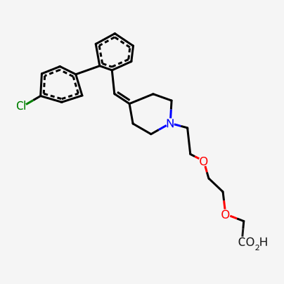 O=C(O)COCCOCCN1CCC(=Cc2ccccc2-c2ccc(Cl)cc2)CC1